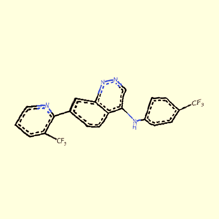 FC(F)(F)c1ccc(Nc2cnnc3cc(-c4ncccc4C(F)(F)F)ccc23)cc1